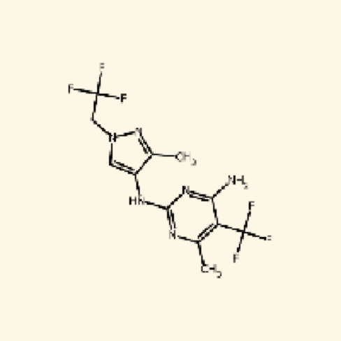 Cc1nn(CC(F)(F)F)cc1Nc1nc(C)c(C(F)(F)F)c(N)n1